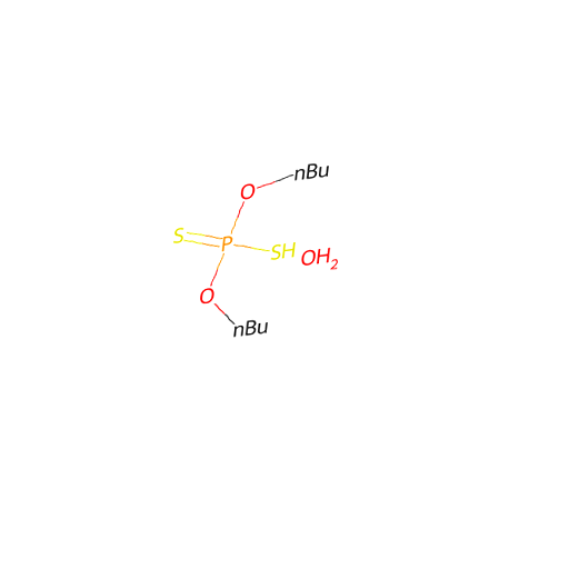 CCCCOP(=S)(S)OCCCC.O